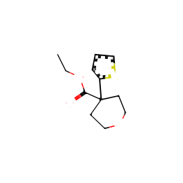 CCOC(=O)C1(c2cccs2)CCOCC1